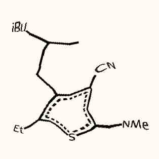 CCc1sc(NC)c(C#N)c1CC(C)C(C)CC